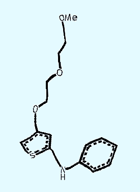 COCCOCCOc1csc(Nc2ccccc2)c1